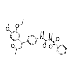 CCOc1cc(/C(=C\C(C)=O)c2ccc(NC(=O)NS(=O)(=O)c3ccccc3)cc2)ccc1OC